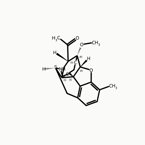 CO[C@]12CCC[C@@]3(C[C@@H]1C(C)=O)[C@H]1Cc4ccc(C)c5c4[C@@]3(CCN1)[C@H]2O5